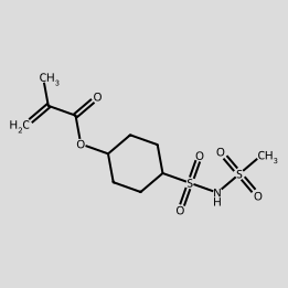 C=C(C)C(=O)OC1CCC(S(=O)(=O)NS(C)(=O)=O)CC1